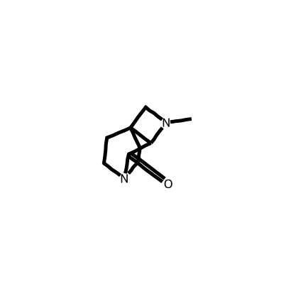 CN1CC23CCN(CC2)C(=O)C13